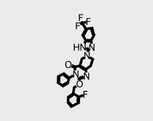 O=c1c2c(nc(OCc3ccccc3F)n1-c1ccccc1)CCN(c1nc3ccc(C(F)(F)F)cc3[nH]1)C2